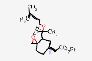 CCOC(=O)/C=C1/CCC2(CO2)C(C(C)(C)OCC=C(C)C)C1